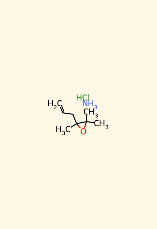 C=CCC1(C)OC1(C)C.Cl.N